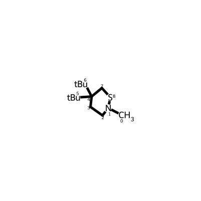 CN1CCC(C(C)(C)C)(C(C)(C)C)CS1